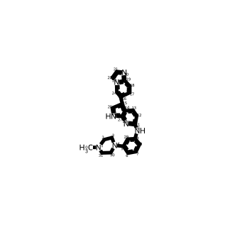 CN1CCN(c2cccc(Nc3ccc4c(-c5ccc6nccn6c5)c[nH]c4n3)c2)CC1